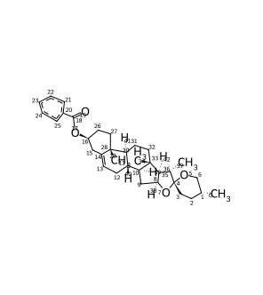 C[C@@H]1CC[C@@]2(OC1)O[C@H]1C[C@H]3[C@@H]4CC=C5C[C@@H](OC(=O)c6ccccc6)CC[C@]5(C)[C@H]4CC[C@]3(C)[C@H]1[C@@H]2C